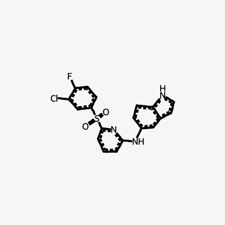 O=S(=O)(c1ccc(F)c(Cl)c1)c1cccc(Nc2ccc3[nH]ccc3c2)n1